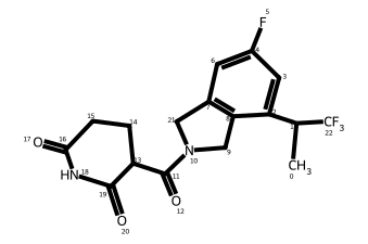 CC(c1cc(F)cc2c1CN(C(=O)C1CCC(=O)NC1=O)C2)C(F)(F)F